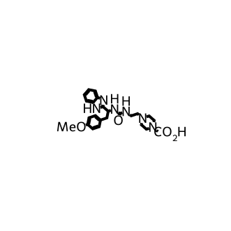 COc1ccc(CC(NC(=O)NCCN2CCN(C(=O)O)CC2)c2nc3ccccc3[nH]2)cc1